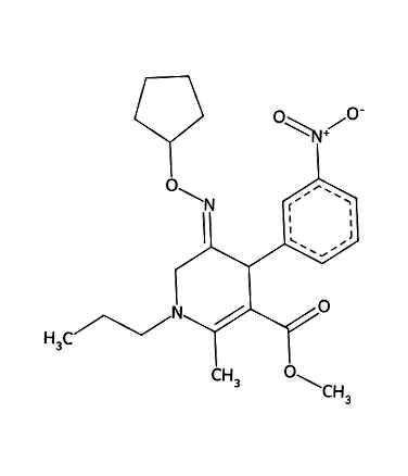 CCCN1CC(=NOC2CCCC2)C(c2cccc([N+](=O)[O-])c2)C(C(=O)OC)=C1C